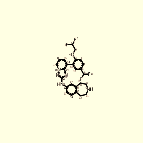 FC(F)COc1ccc(C(F)F)cc1-c1cccn2nc(Nc3ccc4c(c3)CCNCC4)nc12